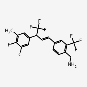 Cc1cc(C(/C=C/c2ccc(CN)c(C(F)(F)F)c2)C(F)(F)F)cc(Cl)c1F